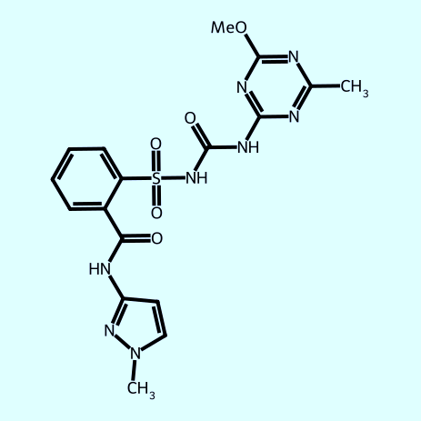 COc1nc(C)nc(NC(=O)NS(=O)(=O)c2ccccc2C(=O)Nc2ccn(C)n2)n1